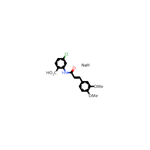 COc1ccc(/C=C/C(=O)Nc2cc(Cl)ccc2C(=O)O)cc1OC.[NaH]